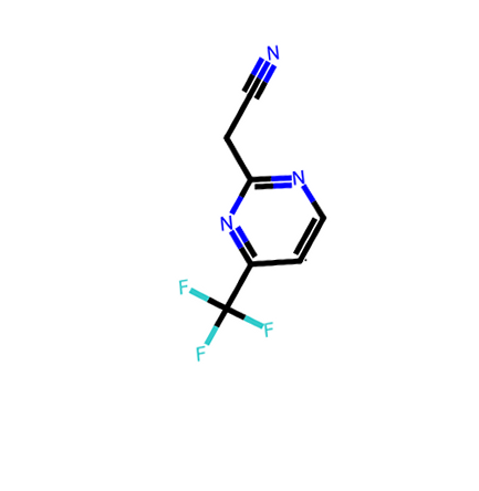 N#CCc1nc[c]c(C(F)(F)F)n1